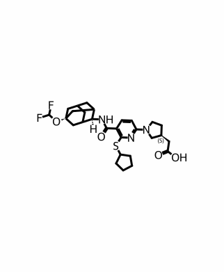 O=C(O)C[C@@H]1CCN(c2ccc(C(=O)N[C@H]3C4CC5CC3C[C@](OC(F)F)(C5)C4)c(SC3CCCC3)n2)C1